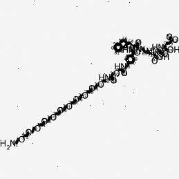 NCCOCCOCCOCCOCCOCCOCCOCCOCCOCCOCCOCCNC(=O)COCC(=O)NCC1CCC(C(=O)N[C@@H](Cc2ccc3ccccc3c2)C(=O)NCCCC[C@H](NC(=O)N[C@@H](CCC(=O)O)C(=O)O)C(=O)O)CC1